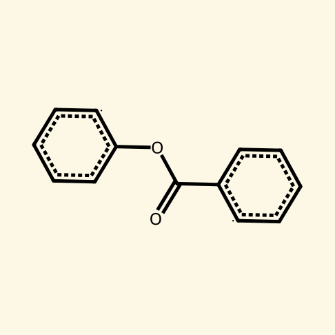 O=C(Oc1[c]cccc1)c1[c]cccc1